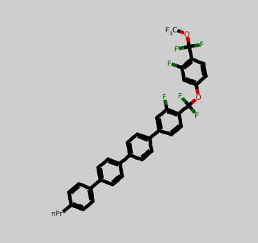 CCCc1ccc(-c2ccc(-c3ccc(-c4ccc(C(F)(F)Oc5ccc(C(F)(F)OC(F)(F)F)c(F)c5)c(F)c4)cc3)cc2)cc1